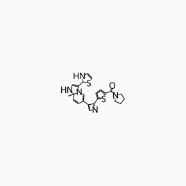 CC12C=CC(C3=CN=C3c3ccc(C(=O)N4CCCC4)s3)=CN1C(C1NC=CS1)=CN2